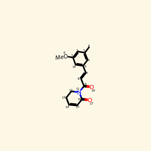 COc1cc(C)cc(/C=C/C(=O)N2CCC=CC2=O)c1